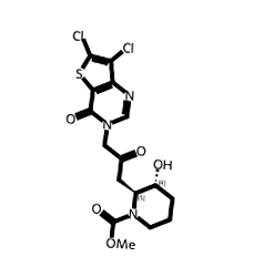 COC(=O)N1CCC[C@@H](O)[C@@H]1CC(=O)Cn1cnc2c(Cl)c(Cl)sc2c1=O